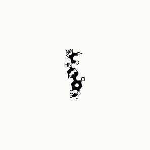 CCc1nnsc1C(=O)Nc1cnc(-c2cc3c(cc2Cl)OC(F)(F)O3)cn1